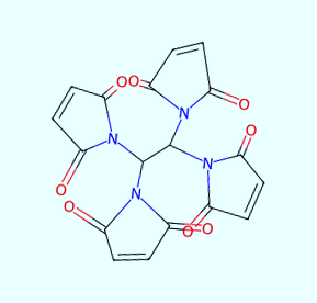 O=C1C=CC(=O)N1C(C(N1C(=O)C=CC1=O)N1C(=O)C=CC1=O)N1C(=O)C=CC1=O